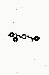 Cc1ccc(OC(CCN2CCN(CCCC(=O)c3ccc(F)cc3)CC2)c2ccccc2)cc1